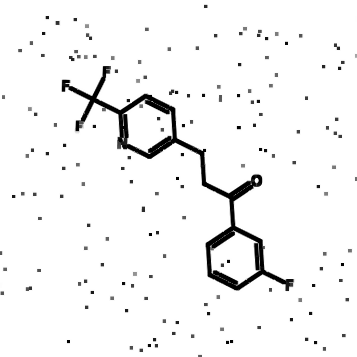 O=C(CCc1ccc(C(F)(F)F)nc1)c1cccc(F)c1